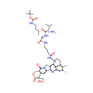 CC[C@@]1(O)C(=O)OCc2c1cc1n(c2=O)Cc2c-1nc1cc(F)c(C)c3c1c2[C@@H](NC(=O)CCCNC(=O)[C@H](CCCCNC(=O)OC(C)(C)C)NC(=O)[C@@H](N)C(C)C)CC3